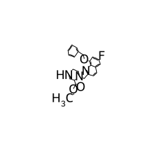 CCOC(=O)C1CNCCN1Cc1ccc2cc(F)cc(OCc3ccccc3)c2n1